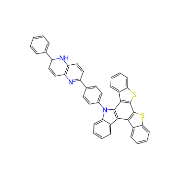 C1=CC(c2ccccc2)Nc2ccc(-c3ccc(-n4c5ccccc5c5c6c7ccccc7sc6c6sc7ccccc7c6c54)cc3)nc21